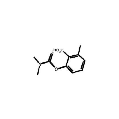 Cc1cccc(OC(=S)N(C)C)c1C(=O)O